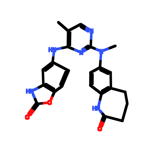 Cc1cnc(N(C)c2ccc3c(c2)CCCC(=O)N3)nc1Nc1ccc2oc(=O)[nH]c2c1